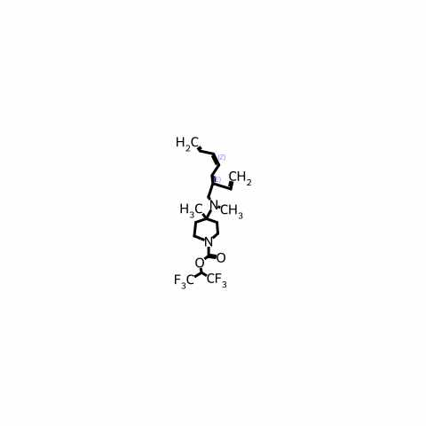 C=C/C=C\C=C(/C=C)CN(C)C1(C)CCN(C(=O)OC(C(F)(F)F)C(F)(F)F)CC1